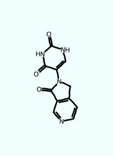 O=C1c2cnccc2CN1c1c[nH]c(=O)[nH]c1=O